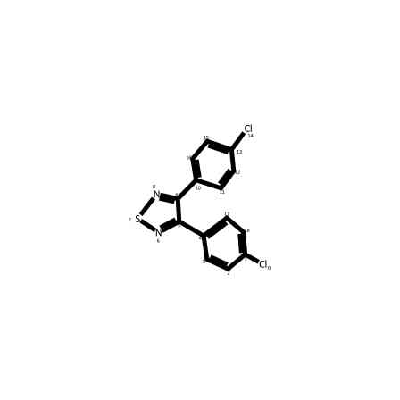 Clc1ccc(-c2nsnc2-c2ccc(Cl)cc2)cc1